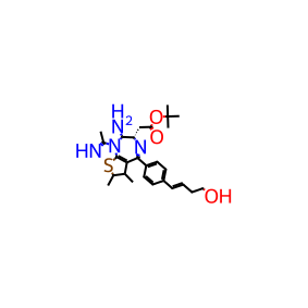 CC(=N)N1C2=C(C(c3ccc(/C=C/CCO)cc3)=N[C@@H](CC(=O)OC(C)(C)C)C1N)C(C)C(C)S2